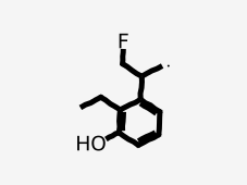 [CH2]C(CF)c1cccc(O)c1CC